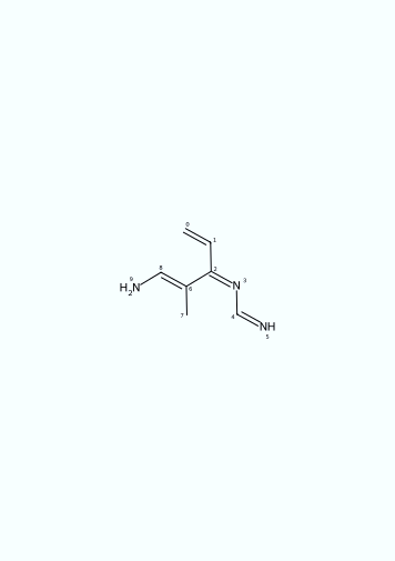 C=CC(=N/C=N)/C(C)=C/N